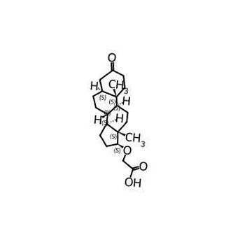 C[C@]12CCC(=O)C[C@@H]1CC[C@@H]1[C@@H]2CC[C@]2(C)[C@@H](OCC(=O)O)CC[C@@H]12